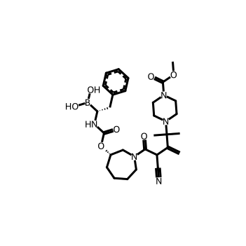 C=C(C(C#N)C(=O)N1CCCC[C@H](OC(=O)N[C@@H](Cc2ccccc2)B(O)O)C1)C(C)(C)N1CCN(C(=O)OC)CC1